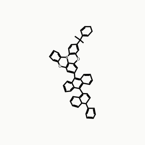 CC(C)(C1=CCCC=C1)c1ccc2c(c1)Oc1cc(-c3c4ccccc4c(C4=C5C=CC=CC5C(c5ccccc5)C=C4)c4ccccc34)cc3c1B2c1ccccc1O3